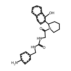 Nc1ccc(CNC(=O)NCC(=O)N2CCCCC2c2ccc3ccccc3c2O)cc1